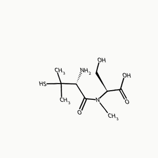 CN(C(=O)[C@@H](N)C(C)(C)S)[C@@H](CO)C(=O)O